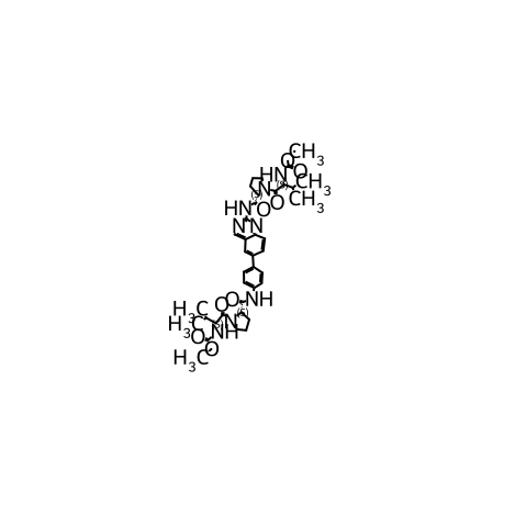 COC(=O)N[C@H](C(=O)N1CCC[C@H]1C(=O)Nc1ccc(-c2ccc3nc(NC(=O)[C@@H]4CCCN4C(=O)[C@@H](NC(=O)OC)C(C)C)ncc3c2)cc1)C(C)C